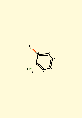 Cl.[P]c1ccccc1